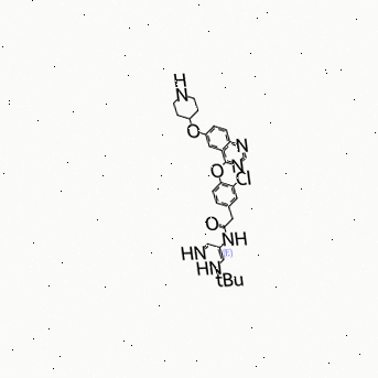 CC(C)(C)N/C=C(\C=N)NC(=O)Cc1ccc(Oc2ncnc3ccc(OC4CCNCC4)cc23)c(Cl)c1